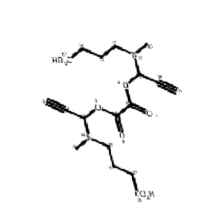 C#CC(OC(=O)C(=O)OC(C#C)N(C)CCCC(=O)O)N(C)CCCC(=O)O